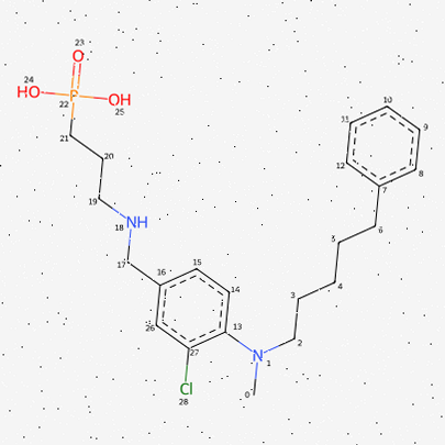 CN(CCCCCc1ccccc1)c1ccc(CNCCCP(=O)(O)O)cc1Cl